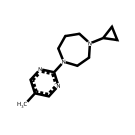 Cc1cnc(N2CCCN(C3CC3)CC2)nc1